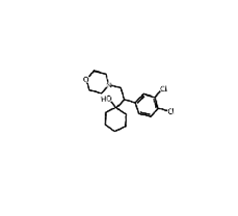 OC1(C(CN2CCOCC2)c2ccc(Cl)c(Cl)c2)CCCCC1